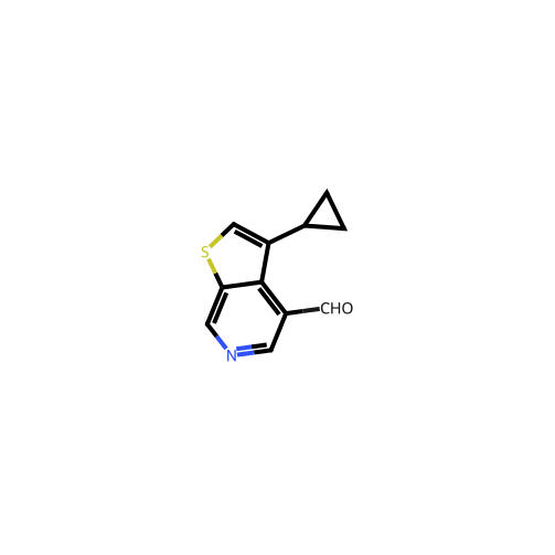 O=Cc1cncc2scc(C3CC3)c12